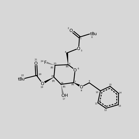 CC(C)(C)C(=O)OC[C@H]1O[C@@H](OCc2ccccc2)[C@H](O)[C@@H](OC(=O)C(C)(C)C)[C@@H]1F